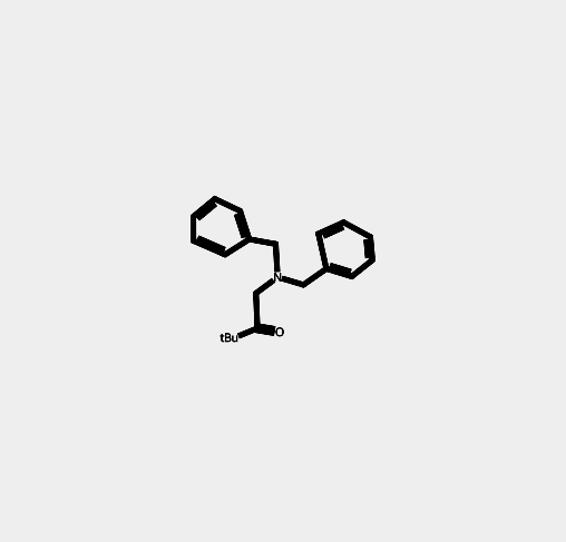 CC(C)(C)C(=O)CN(Cc1ccccc1)Cc1ccccc1